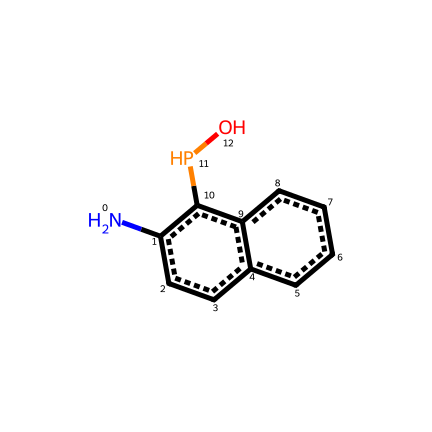 Nc1ccc2ccccc2c1PO